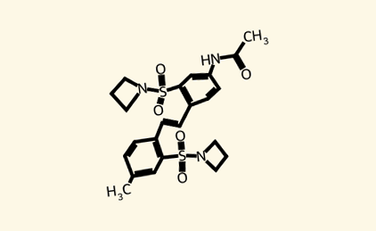 CC(=O)Nc1ccc(/C=C/c2ccc(C)cc2S(=O)(=O)N2CCC2)c(S(=O)(=O)N2CCC2)c1